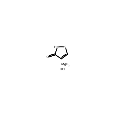 Cl.O=c1ccs[nH]1.[MgH2]